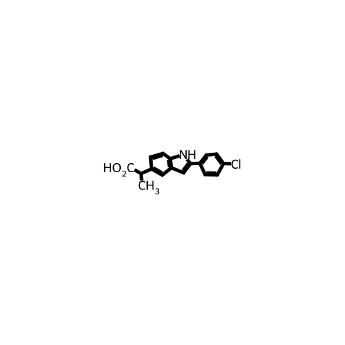 CC(C(=O)O)c1ccc2[nH]c(-c3ccc(Cl)cc3)cc2c1